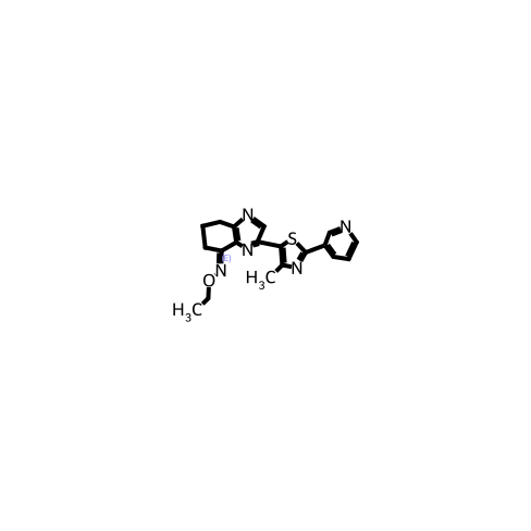 CCO/N=C1\CCCc2ncc(-c3sc(-c4cccnc4)nc3C)nc21